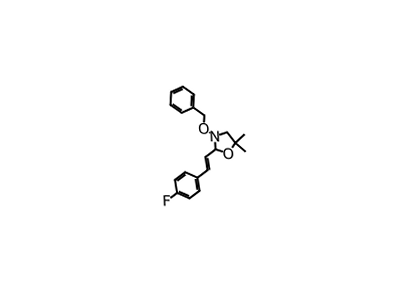 CC1(C)CN(OCc2ccccc2)C(C=Cc2ccc(F)cc2)O1